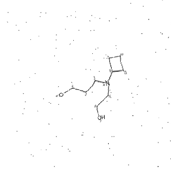 [O]CCCN(CCO)C1CCC1